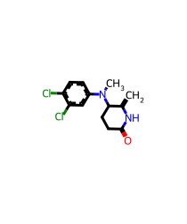 C=C1NC(=O)CCC1N(C)c1ccc(Cl)c(Cl)c1